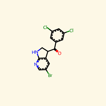 O=C(c1cc(Cl)cc(Cl)c1)C1CNc2ncc(Br)cc21